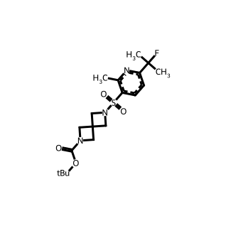 Cc1nc(C(C)(C)F)ccc1S(=O)(=O)N1CC2(CN(C(=O)OC(C)(C)C)C2)C1